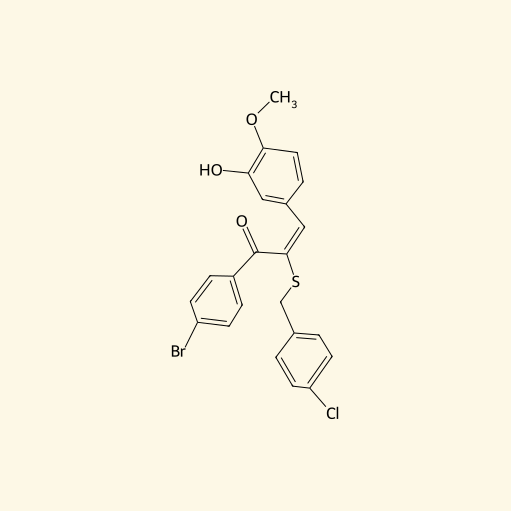 COc1ccc(/C=C(/SCc2ccc(Cl)cc2)C(=O)c2ccc(Br)cc2)cc1O